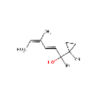 CC(=C/C(=O)O)/C=C/C(O)(C(C)C)C1(C#N)CC1